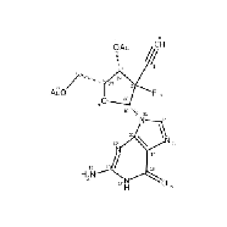 C#CC1(F)[C@@H](OC(C)=O)[C@@H](COC(C)=O)O[C@H]1n1cnc2c(=O)[nH]c(N)nc21